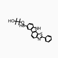 CC(C)(O)C(C)(C)OBc1ccc2[nH]c3c(ccc4nc(-c5ccccc5)sc43)c2c1